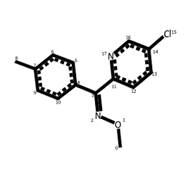 CO/N=C(/c1ccc(C)cc1)c1ccc(Cl)cn1